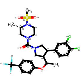 CC(Oc1ccc(C(F)(F)F)cc1)C1CN(C(=O)N2CCN(S(C)(=O)=O)[C@@H](C)C2)CC1c1ccc(Cl)c(Cl)c1